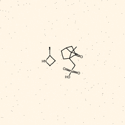 CC1(C)C2CCC1(CS(=O)(=O)O)C(=O)C2.C[C@H]1CCN1